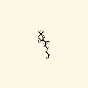 CCCC/C=C(\C)C(=O)OC(C)(C)C